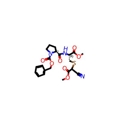 COC(=O)C(C#N)SC[C@H](NC(=O)[C@@H]1CCCN1C(=O)OCc1ccccc1)C(=O)OC